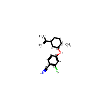 C=C(C)C1CC[C@H](C)[C@@H](Oc2ccc(C#N)c(Cl)c2)C1